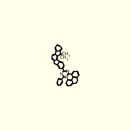 CC1(C)c2ccccc2-c2ccc3c(c21)-c1ccc(-c2nc(-c4ccccc4)nc(-c4cccc5c4-c4ccccc4CC5)n2)cc1C3